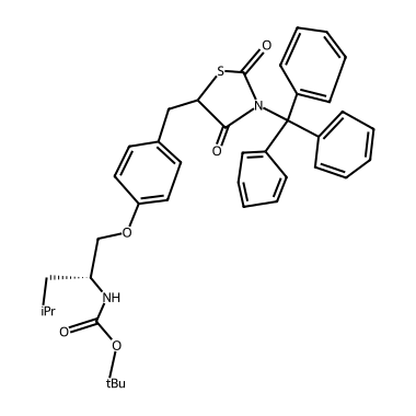 CC(C)C[C@H](COc1ccc(CC2SC(=O)N(C(c3ccccc3)(c3ccccc3)c3ccccc3)C2=O)cc1)NC(=O)OC(C)(C)C